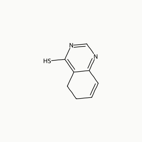 Sc1ncnc2c1CCC=C2